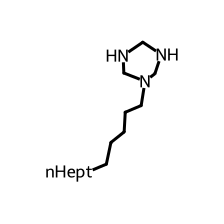 CCCCCCCCCCCCN1CNCNC1